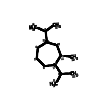 CC(C)N1CCCN(C(C)C)[C@@H](C)C1